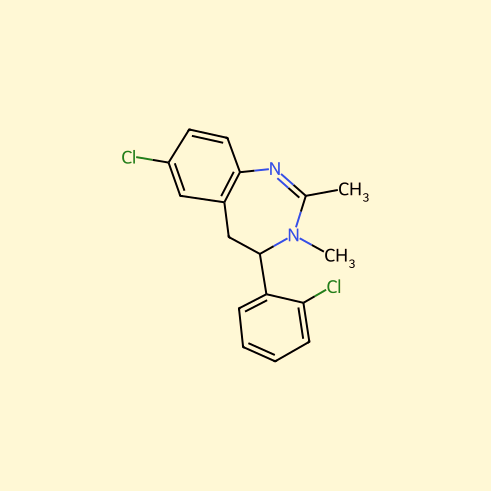 CC1=Nc2ccc(Cl)cc2CC(c2ccccc2Cl)N1C